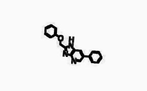 c1ccc(OCc2nc3ncc(-c4ccccc4)cc3[nH]2)cc1